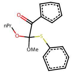 CCCOC(OC)(Sc1ccccc1)C(=O)c1ccccc1